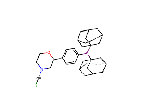 [Cl][Au][N]1CCOC(c2ccc(P(C34CC5CC(CC(C5)C3)C4)C34CC5CC(CC(C5)C3)C4)cc2)C1